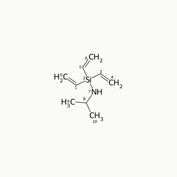 C=C[Si](C=C)(C=C)NC(C)C